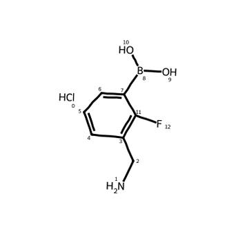 Cl.NCc1cccc(B(O)O)c1F